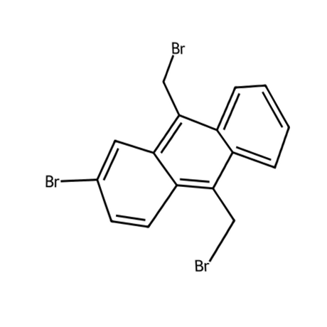 BrCc1c2ccccc2c(CBr)c2cc(Br)ccc12